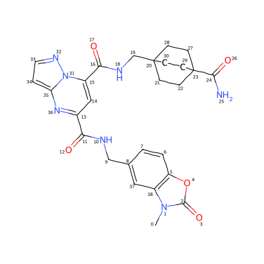 Cn1c(=O)oc2ccc(CNC(=O)c3cc(C(=O)NCC45CCC(C(N)=O)(CC4)CC5)n4nccc4n3)cc21